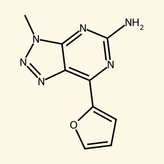 Cn1nnc2c(-c3ccco3)nc(N)nc21